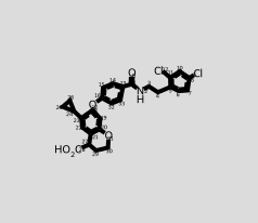 O=C(NCCc1ccc(Cl)cc1Cl)c1ccc(Oc2cc3c(cc2C2CC2)C(C(=O)O)CCO3)cc1